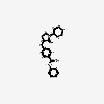 O=C(Nc1ccccc1)c1ccc(CC2CCN(C3CCCCC3)C2=O)cc1